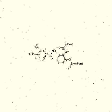 CCCCCC(=O)Oc1ccc(C[C@H](N)C(=O)O[C@@H](C)C(C)OC(C)=O)cc1OC(=O)CCCCC